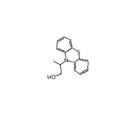 CC(CO)N1c2ccccc2Sc2ccccc21